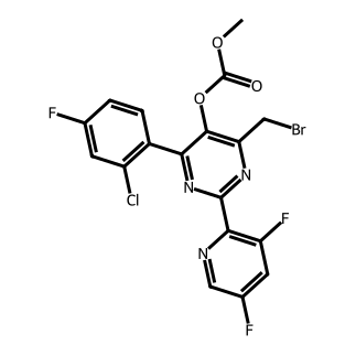 COC(=O)Oc1c(CBr)nc(-c2ncc(F)cc2F)nc1-c1ccc(F)cc1Cl